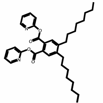 CCCCCCCCc1cc(C(=O)Oc2ccccn2)c(C(=O)Oc2ccccn2)cc1CCCCCCCC